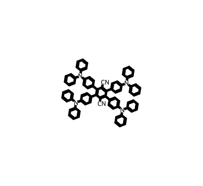 N#Cc1c(-c2ccc(N(c3ccccc3)c3ccccc3)cc2)c(-c2ccc(N(c3ccccc3)c3ccccc3)cc2)c(C#N)c(-c2ccc(N(c3ccccc3)c3ccccc3)cc2)c1-c1ccc(N(c2ccccc2)c2ccccc2)cc1